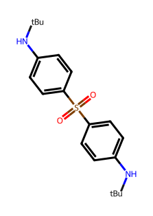 CC(C)(C)Nc1ccc(S(=O)(=O)c2ccc(NC(C)(C)C)cc2)cc1